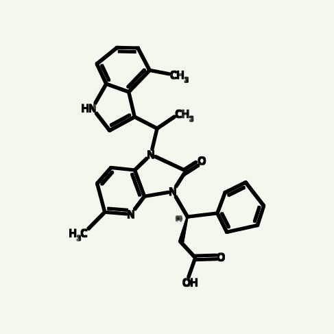 Cc1ccc2c(n1)n([C@H](CC(=O)O)c1ccccc1)c(=O)n2C(C)c1c[nH]c2cccc(C)c12